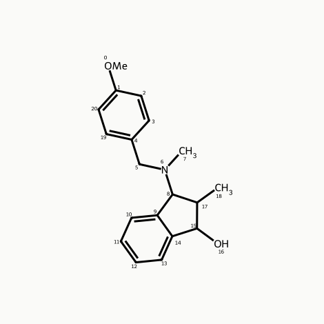 COc1ccc(CN(C)C2c3ccccc3C(O)C2C)cc1